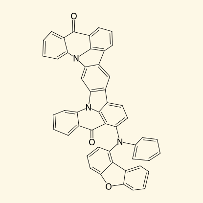 O=c1c2ccccc2n2c3cc4c(cc3c3cccc1c32)c1ccc(N(c2ccccc2)c2cccc3oc5ccccc5c23)c2c(=O)c3ccccc3n4c21